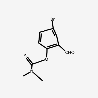 CN(C)C(=S)Oc1ccc(Br)cc1C=O